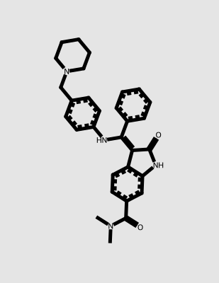 CN(C)C(=O)c1ccc2c(c1)NC(=O)C2=C(Nc1ccc(CN2CCCCC2)cc1)c1ccccc1